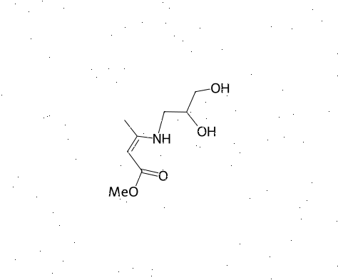 COC(=O)/C=C(/C)NCC(O)CO